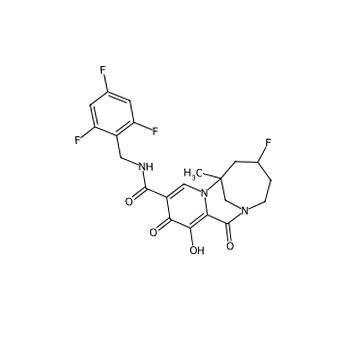 CC12CC(F)CCN(C1)C(=O)c1c(O)c(=O)c(C(=O)NCc3c(F)cc(F)cc3F)cn12